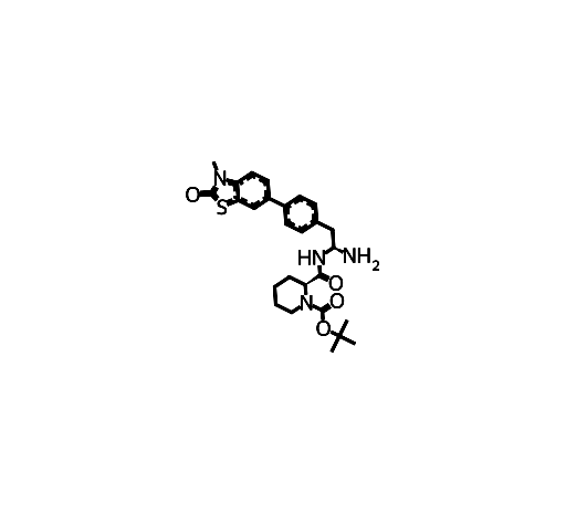 Cn1c(=O)sc2cc(-c3ccc(C[C@@H](N)NC(=O)[C@@H]4CCCCN4C(=O)OC(C)(C)C)cc3)ccc21